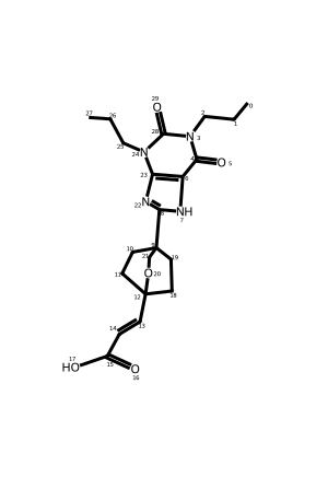 CCCn1c(=O)c2[nH]c(C34CCC(C=CC(=O)O)(CC3)OC4)nc2n(CCC)c1=O